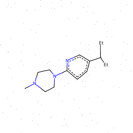 CCC(CC)c1ccc(N2CCN(C)CC2)nc1